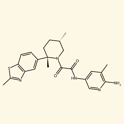 Cc1nc2cc([C@]3(C)CC[C@H](C)CN3C(=O)C(=O)Nc3cnc(N)c(C)c3)ccc2s1